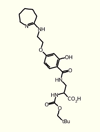 CC(C)(C)COC(=O)NC(CNC(=O)c1ccc(OCCNC2=NCCCCC2)cc1O)C(=O)O